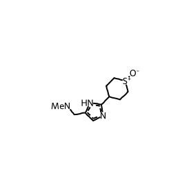 CNCc1cnc(C2CC[S+]([O-])CC2)[nH]1